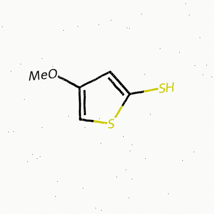 COc1csc(S)c1